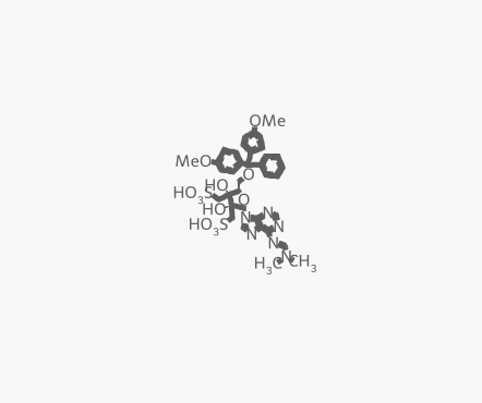 COc1ccc(C(OC[C@H]2O[C@@H](n3cnc4c(N=CN(C)C)ncnc43)[C@@](O)(CS(=O)(=O)O)[C@@]2(O)CS(=O)(=O)O)(c2ccccc2)c2ccc(OC)cc2)cc1